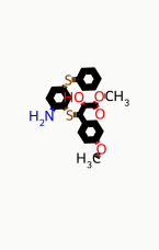 COC(=O)C(O)C(Sc1cc(Sc2ccccc2)ccc1N)c1ccc(OC)cc1